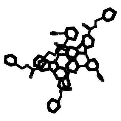 [C-]#[N+]c1ccccc1-c1ccc(-n2c3ccc(C(=O)OCc4ccccc4)cc3c3cc(C(=O)OCc4ccccc4)ccc32)c(-c2nc(-c3ccccc3)nc(-c3cc(C#N)ccc3-n3c4ccc(C(=O)OCc5ccccc5)cc4c4cc(C(=O)OCc5ccccc5)ccc43)n2)c1